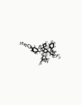 COc1ccc(CN2C(=O)C3(CCC3)c3cc(-c4cc(C(F)(F)F)nn4-c4ccccc4)cc(OC4CC(C)NC(C)C4)c32)cc1